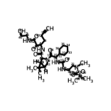 C#CCCC(NC(=O)[C@@H]1[C@@H]2[C@H](CN1C(=O)[C@@H](NC(=O)N[C@H](CN(C)S(=O)(=O)N(C)C)C(C)(C)C)C1CCCCC1)C2(C)C)C(=O)C(=O)NCC=C